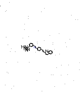 C(=Cc1ccc2ccccc2n1)c1ccc(/C=C/c2cccc(-c3nnn[nH]3)c2)cc1